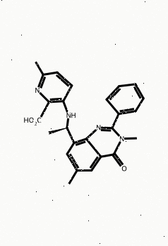 Cc1cc([C@@H](C)Nc2ccc(C)nc2C(=O)O)c2nc(-c3ccccc3)n(C)c(=O)c2c1